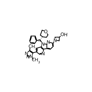 Cc1nnn(C)c1-c1cnc2c3ccc(N4CC(O)C4)nc3n([C@H](c3ccccc3)C3CCOCC3)c2c1